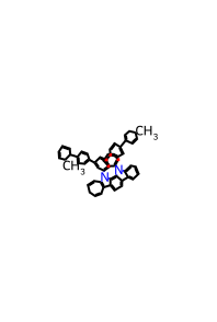 CC1C=CC(c2ccc(-c3cc(-c4ccc(C5C=CC=CC5C)cc4)cc(-n4c5c(c6ccc7c8ccccc8n(-c8ccccc8)c7c64)C=CCC=C5)c3)cc2)=CC1